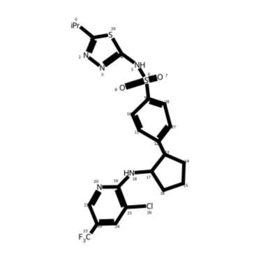 CC(C)c1nnc(NS(=O)(=O)c2ccc(C3CCCC3Nc3ncc(C(F)(F)F)cc3Cl)cc2)s1